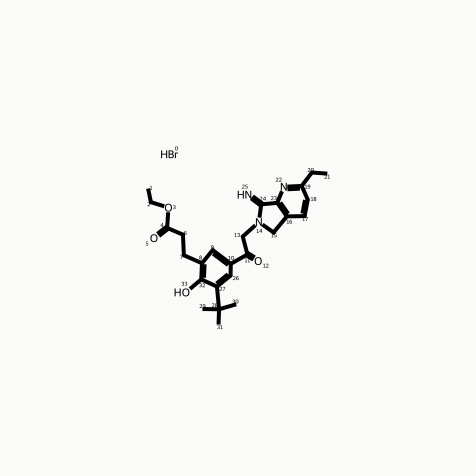 Br.CCOC(=O)CCc1cc(C(=O)CN2Cc3ccc(CC)nc3C2=N)cc(C(C)(C)C)c1O